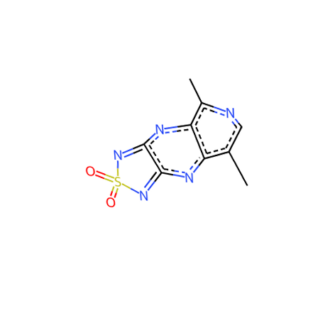 Cc1cnc(C)c2nc3c(nc12)=NS(=O)(=O)N=3